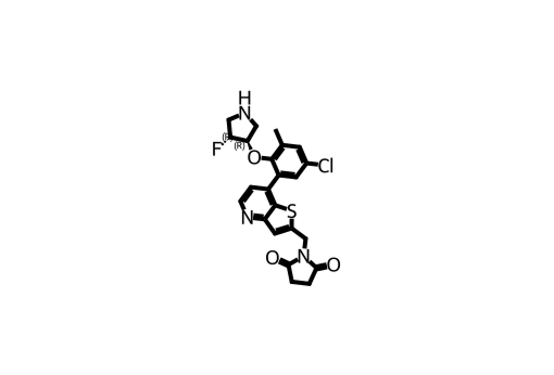 Cc1cc(Cl)cc(-c2ccnc3cc(CN4C(=O)CCC4=O)sc23)c1O[C@@H]1CNC[C@H]1F